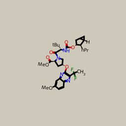 CCC[C@H]1[C@H](OC(=O)N[C@H](C(=O)N2C[C@H](Oc3nc4cc(OC)ccc4nc3C(C)(F)F)C[C@H]2C(=O)OC)C(C)(C)C)CC2C[C@@H]21